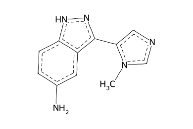 Cn1cncc1-c1n[nH]c2ccc(N)cc12